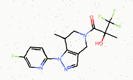 CC1CN(C(=O)C(C)(O)C(F)(F)F)Cc2cnn(-c3ccc(F)cn3)c21